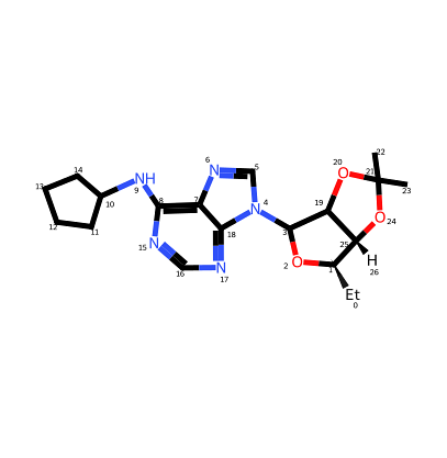 CC[C@H]1OC(n2cnc3c(NC4CCCC4)ncnc32)C2OC(C)(C)O[C@@H]21